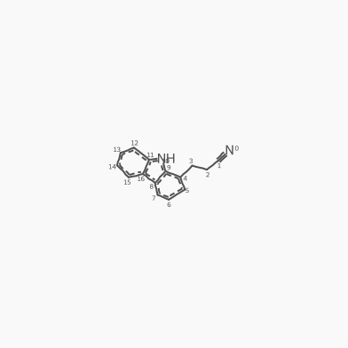 N#CCCc1cccc2c1[nH]c1ccccc12